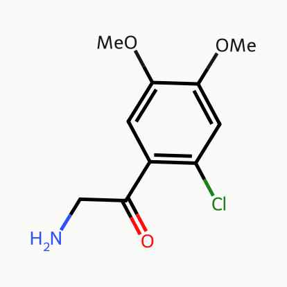 COc1cc(Cl)c(C(=O)CN)cc1OC